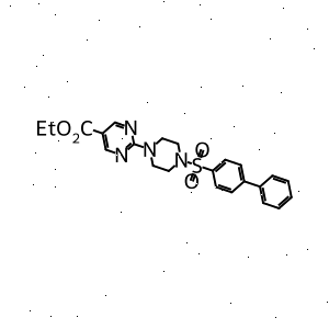 CCOC(=O)c1cnc(N2CCN(S(=O)(=O)c3ccc(-c4ccccc4)cc3)CC2)nc1